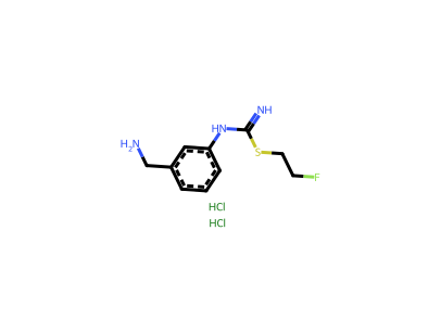 Cl.Cl.N=C(Nc1cccc(CN)c1)SCCF